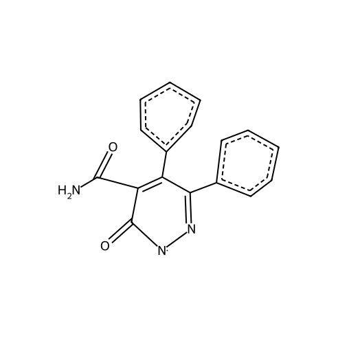 NC(=O)C1=C(c2ccccc2)C(c2ccccc2)=N[N]C1=O